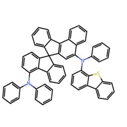 c1ccc(N(c2ccccc2)c2cccc3c2-c2ccccc2C32c3ccccc3-c3c2cc(N(c2ccccc2)c2cccc4c2sc2ccccc24)c2ccccc32)cc1